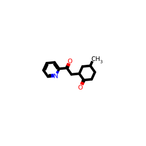 CC1CCC(=O)C(CC(=O)c2ccccn2)C1